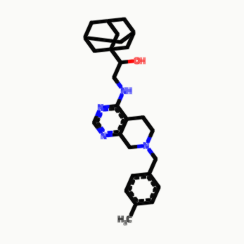 Cc1ccc(CN2CCc3c(ncnc3NCC(O)C34CC5CC(CC(C5)C3)C4)C2)cc1